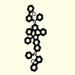 c1ccc(N(c2ccc3cc4c(cc3c2)C(c2ccccc2)(c2ccccc2)c2c-4c3ccccc3c3cc(N(c4ccccc4)c4cccc5c4oc4ccccc45)ccc23)c2cccc3c2oc2ccccc23)cc1